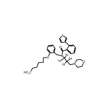 [2H]C([2H])(CN1CCOCC1)C([2H])([2H])N(Cc1ccccc1OCCCCCC(=O)O)C(=O)c1ccccc1-c1ccsc1